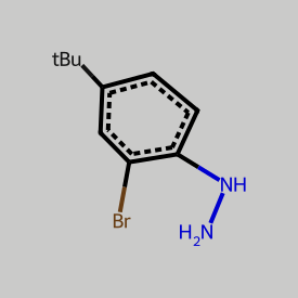 CC(C)(C)c1ccc(NN)c(Br)c1